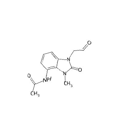 CC(=O)Nc1cccc2c1n(C)c(=O)n2CC=O